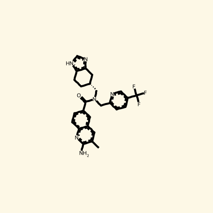 Cc1cc2cc(C(=O)N(Cc3ccc(C(F)(F)F)cn3)C[C@@H]3CCc4[nH]cnc4C3)ccc2nc1N